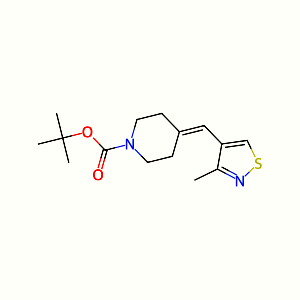 Cc1nscc1C=C1CCN(C(=O)OC(C)(C)C)CC1